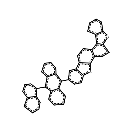 c1ccc2c(-c3c4ccccc4c(-c4ccc5sc6c(ccc7c6ccc6sc8ccccc8c67)c5c4)c4ccccc34)cccc2c1